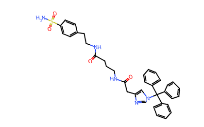 NS(=O)(=O)c1ccc(CCNC(=O)CCCNC(=O)Cc2cn(C(c3ccccc3)(c3ccccc3)c3ccccc3)cn2)cc1